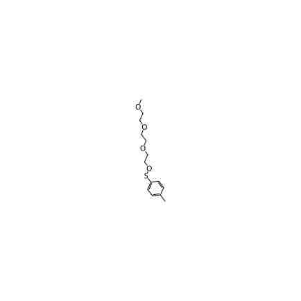 COCCOCCOCCOSc1ccc(C)cc1